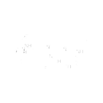 CCC1C(=O)Nc2c(Cl)ccc3cc(-c4nc5cc(C(=O)N6C[C@H]7CC[C@@H]6[C@@H]7N)cc(F)c5n4C)n1c23